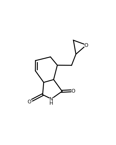 O=C1NC(=O)C2C(CC3CO3)CC=CC12